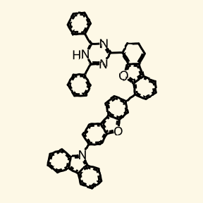 C1=c2c(oc3c(-c4ccc5c(c4)oc4cc(-n6c7ccccc7c7ccccc76)ccc45)cccc23)=C(C2=NC(c3ccccc3)NC(c3ccccc3)=N2)CC1